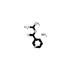 CC(C)OC(=O)c1cccnc1.N